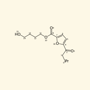 CC(C)CC(=O)c1ccc(C(=O)OCCCCO)o1